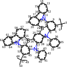 CC(C)(C)c1cc2c3c(c1)-n1c4ccccc4c4cccc(c41)B3c1cc3c(cc1N2c1ccccc1)N(c1ccccc1)c1cc(C(C)(C)C)cc2c1B3c1cccc3c4ccccc4n-2c13